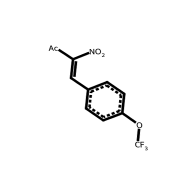 CC(=O)C(=Cc1ccc(OC(F)(F)F)cc1)[N+](=O)[O-]